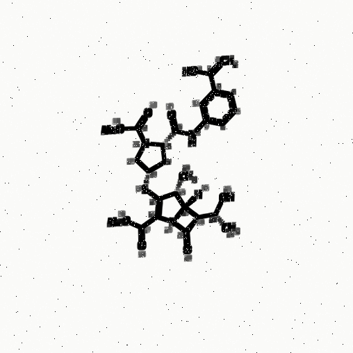 C=C(O)c1cccc(NC(=O)[C@@H]2C[C@H](SC3=C(C(=O)OC)N4C(=O)[C@H]([C@@H](C)O)[C@H]4[C@H]3C)CN2C(=O)OC)c1